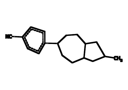 CC1CC2CCC(c3ccc(C#N)cc3)CCC2C1